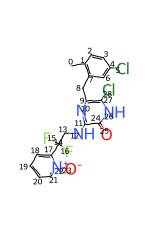 Cc1ccc(Cl)cc1Cc1nc(NCC(F)(F)c2cccc[n+]2[O-])c(=O)[nH]c1Cl